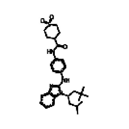 CC(C)C[C@H](CC(C)(C)C)n1c(Nc2ccc(NC(=O)C3CCS(=O)(=O)CC3)cc2)nc2ccccc21